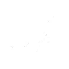 CC1=CC(=O)[C@H]2[C@@H](CCC3=CN(c4ccc(C(F)(F)F)cc4)C(=O)CC[C@@]32C)[C@@H]1CCC#N